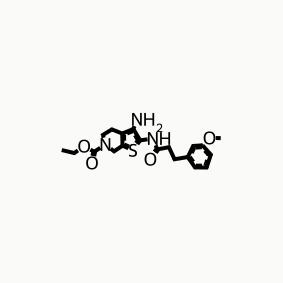 CCOC(=O)N1CCc2c(sc(NC(=O)CCc3cccc(OC)c3)c2N)C1